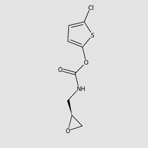 O=C(NC[C@H]1CO1)Oc1ccc(Cl)s1